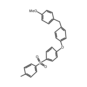 COc1ccc(Cc2ccc(Oc3ccc(S(=O)(=O)c4ccc(C)cc4)cc3)cc2)cc1